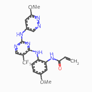 C=CC(=O)Nc1cc(OC)ccc1Nc1nc(Nc2cnnc(OC)c2)ncc1C(F)(F)F